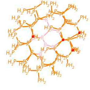 PP(P)P(P)B(B(B(B(B(P(P(P)P)P(P)P)P(P(P)P)P(P)P)B(P(P(P)P)P(P)P)P(P(P)P)P(P)P)B(P(P(P)P)P(P)P)P(P(P)P)P(P)P)B(P(P(P)P)P(P)P)P(P(P)P)P(P)P)P(P(P)P)P(P)P